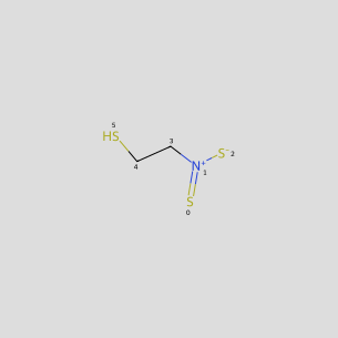 S=[N+]([S-])CCS